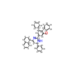 C1=C(c2cccc3ccccc23)N=C(c2cc(-c3ccccc3)c3c(c2)oc2ccccc23)NC1c1ccccc1